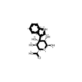 OC(Cl)[C@H]1O[C@H](O)[C@@H](O)[C@](O)(c2c[nH]c3ccccc23)[C@@H]1O